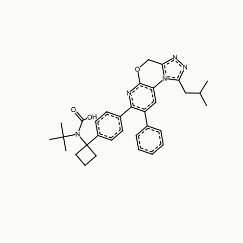 CC(C)Cc1nnc2n1-c1cc(-c3ccccc3)c(-c3ccc(C4(N(C(=O)O)C(C)(C)C)CCC4)cc3)nc1OC2